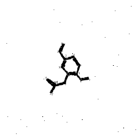 C=Cc1ccc(C=C)c(CC(=C)C)c1